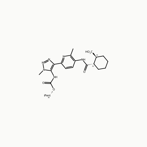 CCC[C@@H](C)OC(=O)Nc1c(-c2ccc(NC(=O)[C@H]3CCCC[C@@H]3C(=O)O)c(C)n2)nnn1C